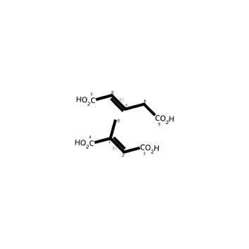 C/C(=C\C(=O)O)C(=O)O.O=C(O)/C=C/CC(=O)O